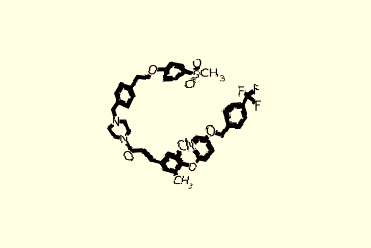 Cc1cc(C=CC(=O)N2CCN(Cc3ccc(CCOc4ccc(S(C)(=O)=O)cc4)cc3)CC2)cc(Cl)c1Oc1ccc(OCc2ccc(C(F)(F)F)cc2)cn1